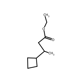 CCOC(=O)CC(C)C1CCC1